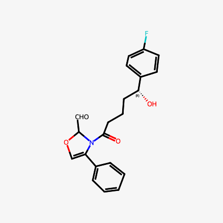 O=CC1OC=C(c2ccccc2)N1C(=O)CCC[C@@H](O)c1ccc(F)cc1